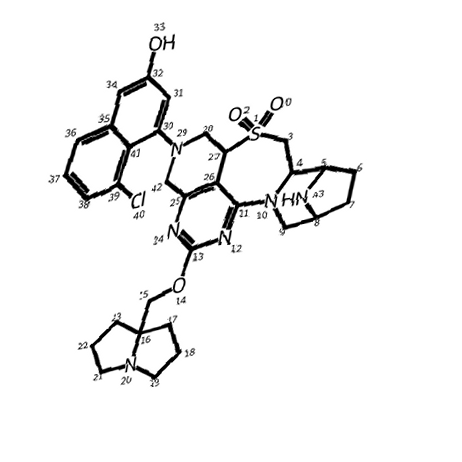 O=S1(=O)CC2C3CCC(CN2c2nc(OCC45CCCN4CCC5)nc4c2C1CN(c1cc(O)cc2cccc(Cl)c12)C4)N3